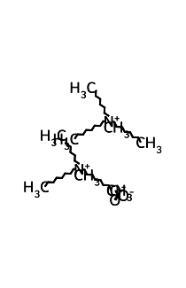 CCCCCCCC[N+](C)(CCCCCCCC)CCCCCCCC.CCCCCCCC[N+](C)(CCCCCCCC)CCCCCCCC.O=C([O-])[O-]